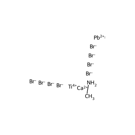 CN.[Br-].[Br-].[Br-].[Br-].[Br-].[Br-].[Br-].[Br-].[Ca+2].[Pb+2].[Ti+4]